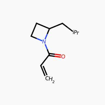 C=CC(=O)N1CCC1CC(C)C